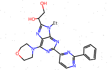 CCn1c(C(O)CO)nc2c(N3CCOCC3)nc(-c3ccnc(-c4ccccc4)n3)nc21